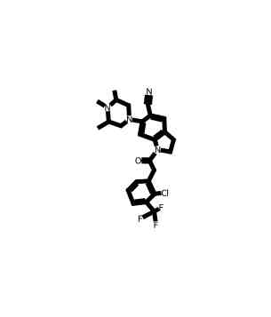 CC1CN(c2cc3c(cc2C#N)CCN3C(=O)Cc2cccc(C(F)(F)F)c2Cl)CC(C)N1C